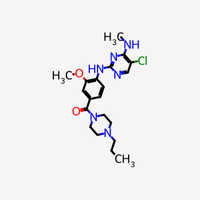 CCCN1CCN(C(=O)c2ccc(Nc3ncc(Cl)c(NC)n3)c(OC)c2)CC1